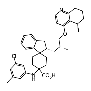 Cc1cc(Cl)cc(NC2(C(=O)O)CCC3(CC2)c2ccccc2C[C@@H]3C[C@@H](C)COc2ccnc3c2[C@H](C)CCC3)c1